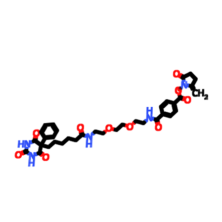 C=C1CCC(=O)N1OC(=O)c1ccc(C(=O)NCCOCCOCCNC(=O)CCCCCC2(c3ccccc3)C(=O)NC(=O)NC2=O)cc1